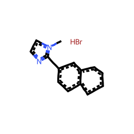 Br.Cn1ccnc1-c1ccc2ccccc2c1